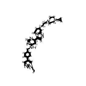 Cn1cc(-c2ccc(CNc3cc(-c4cnc5cc(OCCN6CCN(C7CC7)CC6)ccn45)ncn3)cc2)cn1